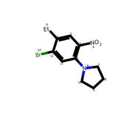 CCc1cc([N+](=O)[O-])c(N2CCCC2)cc1Br